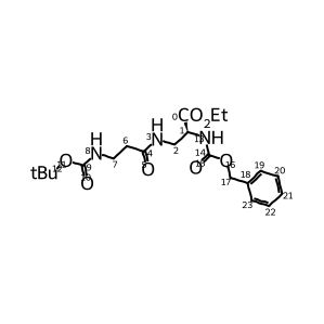 CCOC(=O)[C@H](CNC(=O)CCNC(=O)OC(C)(C)C)NC(=O)OCc1ccccc1